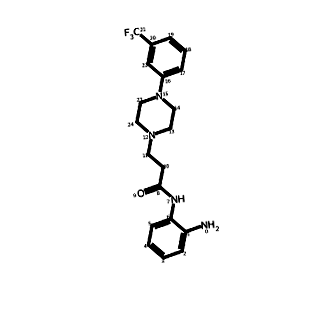 Nc1ccccc1NC(=O)CCN1CCN(c2cccc(C(F)(F)F)c2)CC1